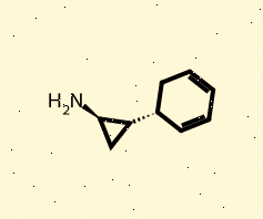 N[C@@H]1CC1[C@H]1C=CC=CC1